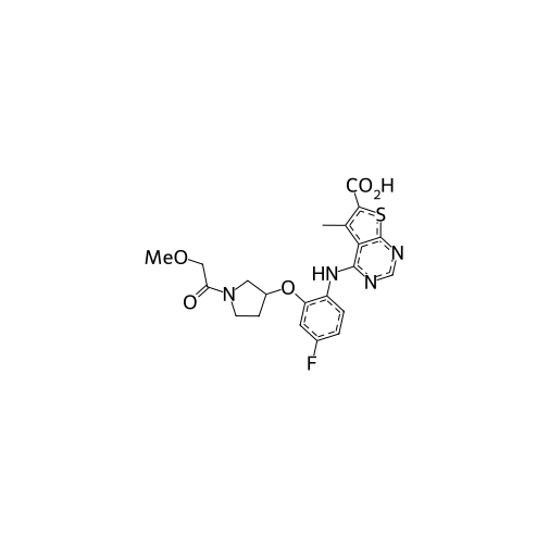 COCC(=O)N1CCC(Oc2cc(F)ccc2Nc2ncnc3sc(C(=O)O)c(C)c23)C1